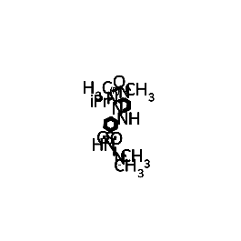 CC(C)N1c2nc(Nc3cccc(S(=O)(=O)NCCN(C)C)c3)ccc2N(C)C(=O)[C@H]1C